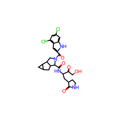 O=C1NCCC1CC(NC(=O)C1C2CC3CC3C2CN1C(=O)c1cc2c(Cl)cc(Cl)cc2[nH]1)C(=O)CO